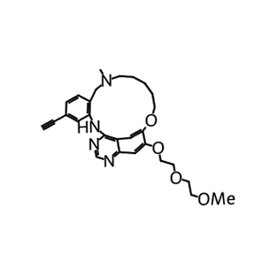 C#Cc1ccc2c(c1)Nc1ncnc3cc(OCCOCCOC)c(cc13)OCCCCCN(C)C2